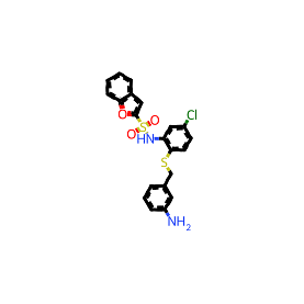 Nc1cccc(CSc2ccc(Cl)cc2NS(=O)(=O)c2cc3ccccc3o2)c1